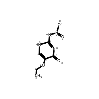 CCOc1c[nH]c(N[N+](=O)[O-])nc1=O